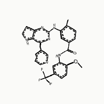 COc1ccc(C(F)(F)F)cc1NC(=O)c1ccc(C)c(Nc2nc(-c3cccnc3)c3[nH]ccc3n2)c1